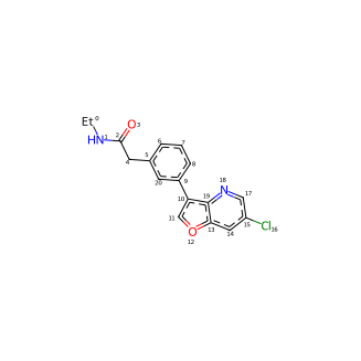 CCNC(=O)Cc1cccc(-c2coc3cc(Cl)cnc23)c1